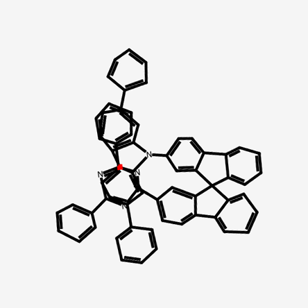 c1ccc(-c2ccc3c4ccc(-c5ccccc5)cc4n(-c4ccc5c(c4)C4(c6ccccc6-c6ccc(-c7nc(-c8ccccc8)nc(-c8ccccc8)n7)cc64)c4ccccc4-5)c3c2)cc1